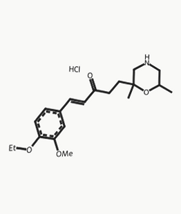 CCOc1ccc(C=CC(=O)CCC2(C)CNCC(C)O2)cc1OC.Cl